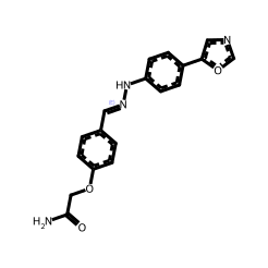 NC(=O)COc1ccc(/C=N/Nc2ccc(-c3cnco3)cc2)cc1